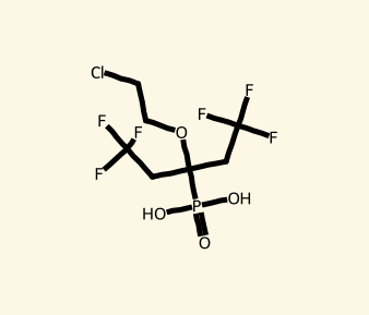 O=P(O)(O)C(CC(F)(F)F)(CC(F)(F)F)OCCCl